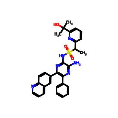 CC(c1cccc(C(C)(C)O)n1)S(=O)(=O)Nc1nc(-c2ccc3ncccc3c2)c(-c2ccccc2)nc1N